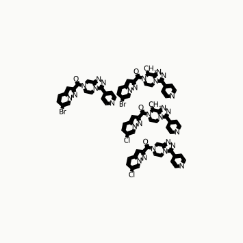 CC1c2nnc(-c3ccncc3)n2CCN1C(=O)c1cc2ccc(Br)cn2n1.CC1c2nnc(-c3ccncc3)n2CCN1C(=O)c1cc2ccc(Cl)cn2n1.O=C(c1cc2ccc(Br)cn2n1)N1CCn2c(nnc2-c2ccncc2)C1.O=C(c1cc2ccc(Cl)cn2n1)N1CCn2c(nnc2-c2ccncc2)C1